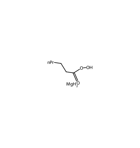 CCCCCC(=O)OO.[MgH2]